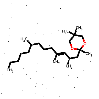 CCCCCC(C)CCC/C(C)=C/[C@H](C)CC1(C)OCC(C)(C)CO1